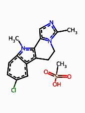 CS(=O)(=O)O.Cc1ncc2n1CCc1c-2n(C)c2ccc(Cl)cc12